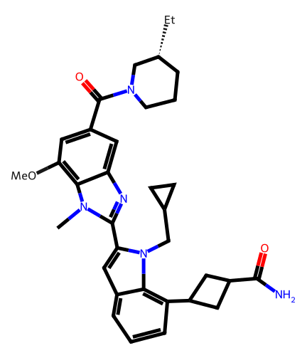 CC[C@@H]1CCCN(C(=O)c2cc(OC)c3c(c2)nc(-c2cc4cccc(C5CC(C(N)=O)C5)c4n2CC2CC2)n3C)C1